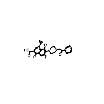 COc1c(N2CCN(CC(=O)c3cccnc3)CC2)c(F)cc2c(=O)c(C(=O)O)cn(C3CC3)c12